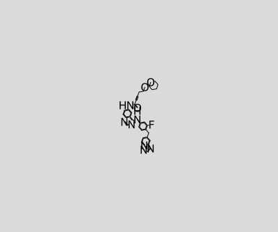 O=C(C#CCCOC1CCCCO1)Nc1ccc2ncnc(Nc3ccc(Cc4ccn5ncnc5c4)c(F)c3)c2c1